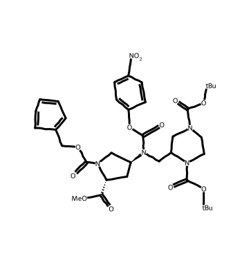 COC(=O)[C@H]1C[C@H](N(CC2CN(C(=O)OC(C)(C)C)CCN2C(=O)OC(C)(C)C)C(=O)Oc2ccc([N+](=O)[O-])cc2)CN1C(=O)OCc1ccccc1